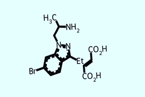 CCc1nn(CC(C)N)c2cc(Br)ccc12.O=C(O)C=CC(=O)O